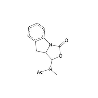 CC(=O)N(C)C1OC(=O)N2c3ccccc3CC12